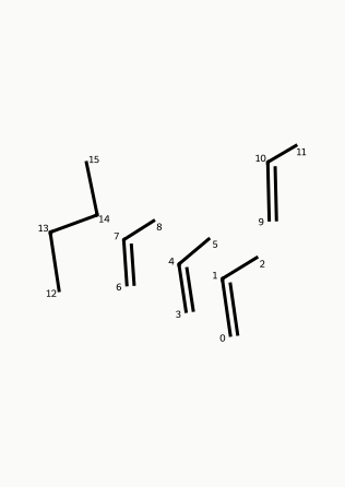 C=CC.C=CC.C=CC.C=CC.CCCC